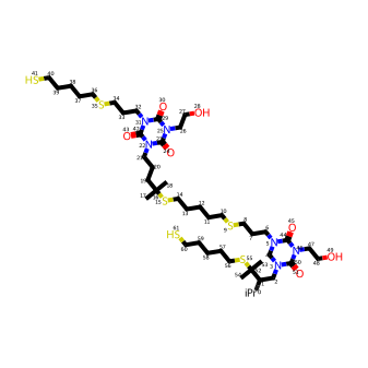 CC(C)C(CN1CN(CCCSCCCCCSC(C)(C)CCCn2c(=O)n(CCO)c(=O)n(CCCSCCCCCS)c2=O)C(=O)N(CCO)C1=O)C(C)(C)SCCCCCS